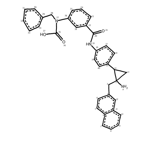 NC1(Cc2ccc3ccccc3c2)CC1c1ccc(NC(=O)c2cccc(N(Cc3ccccc3)C(=O)O)c2)cc1